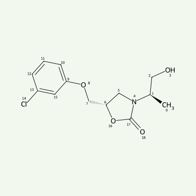 C[C@H](CO)N1C[C@@H](COc2cccc(Cl)c2)OC1=O